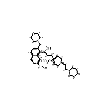 COc1ccc2ncc(CN3CCOCC3)c([C@H](O)CCC3(C(=O)O)CCN(CCC4CCCCC4)CC3)c2c1